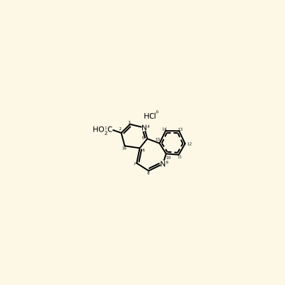 Cl.O=C(O)C1=CN=C2C(=CC=Nc3ccccc32)C1